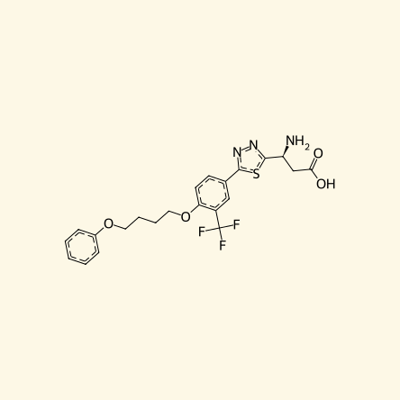 N[C@@H](CC(=O)O)c1nnc(-c2ccc(OCCCCOc3ccccc3)c(C(F)(F)F)c2)s1